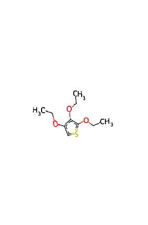 CCOc1csc(OCC)c1OCC